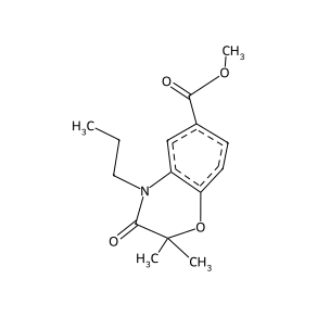 CCCN1C(=O)C(C)(C)Oc2ccc(C(=O)OC)cc21